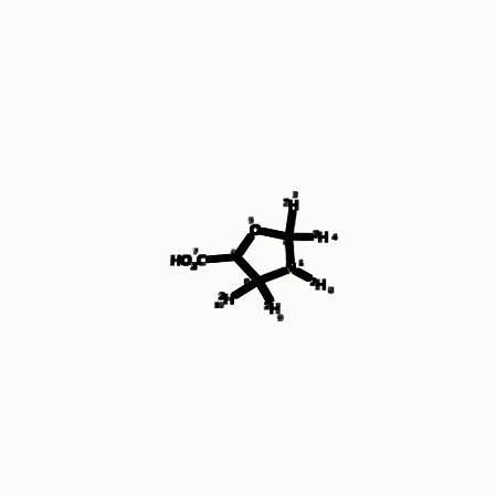 [2H]N1C([2H])([2H])OC(C(=O)O)C1([2H])[2H]